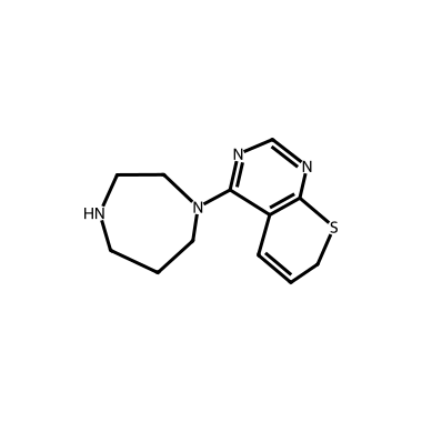 C1=Cc2c(ncnc2N2CCCNCC2)SC1